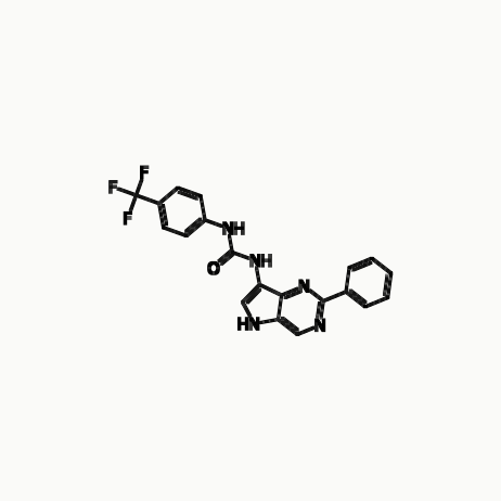 O=C(Nc1ccc(C(F)(F)F)cc1)Nc1c[nH]c2cnc(-c3ccccc3)nc12